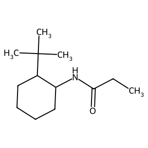 CCC(=O)NC1CCCCC1C(C)(C)C